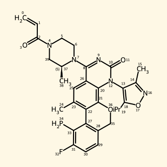 C=CC(=O)N1CCN(c2nc(=O)n(-c3c(C)noc3C(C)C)c3c4c(c(C)cc23)-c2c(ccc(F)c2P)CO4)[C@@H](C)C1